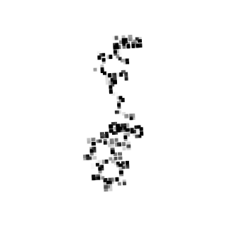 COC1CCN(CCCCS(=O)(=O)Cc2cccc3ccccc23)CC1